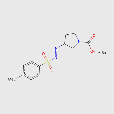 COc1ccc(S(=O)(=O)/N=N/C2CCN(C(=O)OC(C)(C)C)C2)cc1